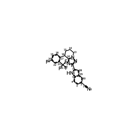 N#Cc1ccc2[nH]c(-c3nc4n(n3)CCCC4c3ccc(F)cc3C(F)(F)F)cc2c1